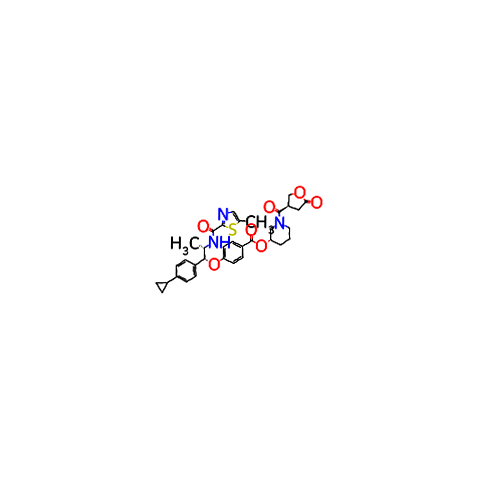 Cc1cnc(C(=O)N[C@@H](C)[C@H](Oc2ccc(C(=O)O[C@H]3CCCN(C(=O)[C@H]4COC(=O)C4)C3)cc2)c2ccc(C3CC3)cc2)s1